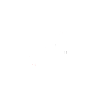 Cc1ccccc1C.O=C(O)CCSCCC(=O)O